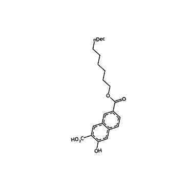 CCCCCCCCCCCCCCCCOC(=O)c1ccc2cc(O)c(C(=O)O)cc2c1